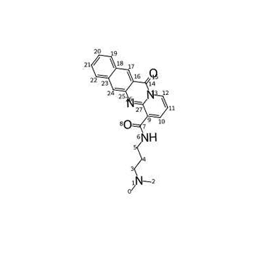 CN(C)CCCNC(=O)c1cccn2c(=O)c3cc4ccccc4cc3nc12